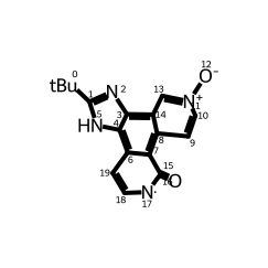 CC(C)(C)c1nc2c([nH]1)c1c(c3cc[n+]([O-])cc32)C(=O)[N]C=C1